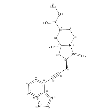 CC(C)(C)OC(=O)N1CCN2C(=O)[C@@H](CC#Cc3cccn4ncnc34)C[C@H]2C1